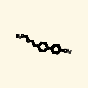 [CH2]c1ccc(N2CCN(CCOCC)CC2)cc1